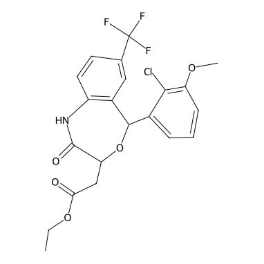 CCOC(=O)CC1OC(c2cccc(OC)c2Cl)c2cc(C(F)(F)F)ccc2NC1=O